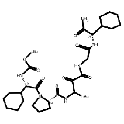 CCCCC(NC(=O)[C@@H]1CCCN1C(=O)[C@@H](NC(=O)OC(C)(C)C)C1CCCCC1)C(=O)C(=O)NCC(=O)N[C@H](C(N)=O)C1CCCCC1